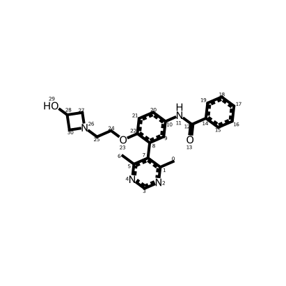 Cc1ncnc(C)c1-c1cc(NC(=O)c2ccccc2)ccc1OCCN1CC(O)C1